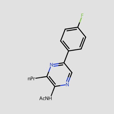 CCCc1nc(-c2ccc(F)cc2)cnc1NC(C)=O